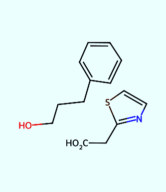 O=C(O)Cc1nccs1.OCCCc1ccccc1